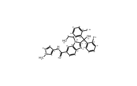 Cn1cc(NC(=O)c2ccc3nc(C(O)(c4ccccc4F)c4ccccc4F)n(CCO)c3c2)cn1